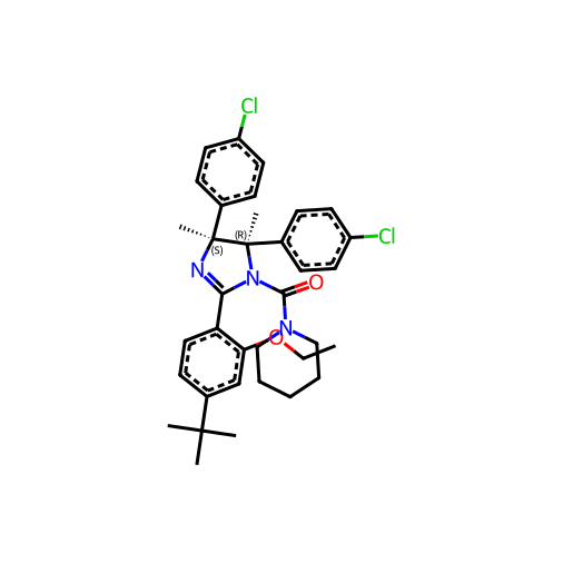 CCOc1cc(C(C)(C)C)ccc1C1=N[C@@](C)(c2ccc(Cl)cc2)[C@@](C)(c2ccc(Cl)cc2)N1C(=O)N1CCCCC1